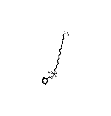 CCCCCCCCCCCCCCCCOP(=O)(O)OCc1ccccc1